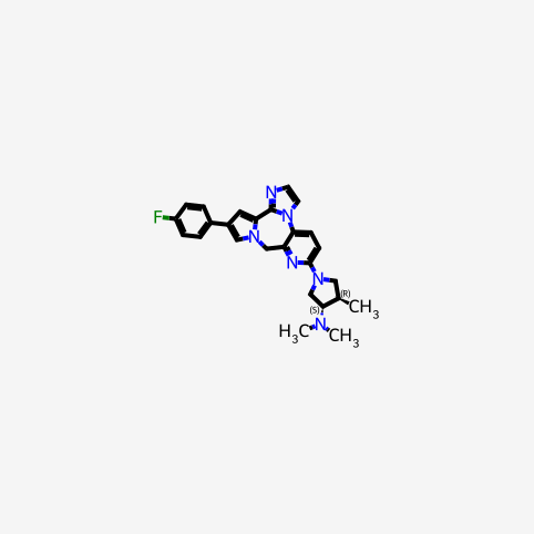 C[C@@H]1CN(c2ccc3c(n2)Cn2cc(-c4ccc(F)cc4)cc2-c2nccn2-3)C[C@H]1N(C)C